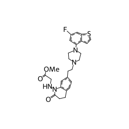 COC(=O)CNN1C(=O)CCc2ccc(CCN3CCN(c4cc(F)cc5sccc45)CC3)cc21